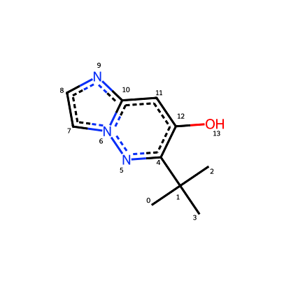 CC(C)(C)c1nn2ccnc2cc1O